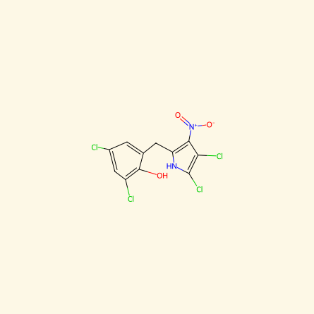 O=[N+]([O-])c1c(Cc2cc(Cl)cc(Cl)c2O)[nH]c(Cl)c1Cl